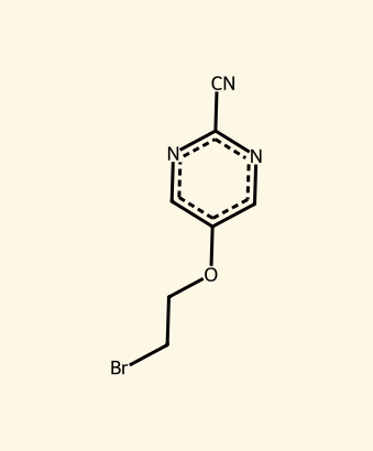 N#Cc1ncc(OCCBr)cn1